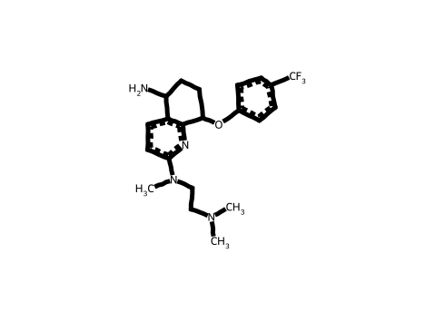 CN(C)CCN(C)c1ccc2c(n1)C(Oc1ccc(C(F)(F)F)cc1)CCC2N